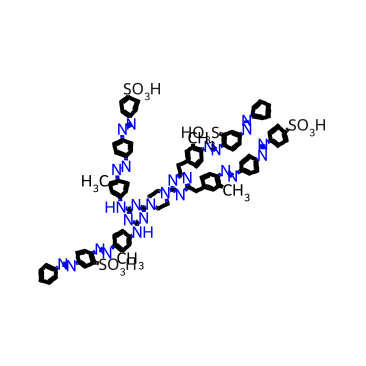 Cc1cc(Cc2nc(Cc3ccc(N=Nc4ccc(N=Nc5ccccc5)cc4S(=O)(=O)O)c(C)c3)nc(N3CCN(c4nc(Nc5ccc(N=Nc6ccc(N=Nc7ccc(S(=O)(=O)O)cc7)cc6)c(C)c5)nc(Nc5ccc(N=Nc6ccc(N=Nc7ccccc7)cc6S(=O)(=O)O)c(C)c5)n4)CC3)n2)ccc1N=Nc1ccc(N=Nc2ccc(S(=O)(=O)O)cc2)cc1